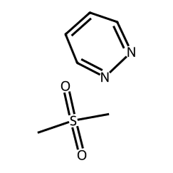 CS(C)(=O)=O.c1ccnnc1